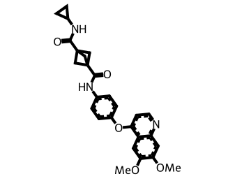 COc1cc2nccc(Oc3ccc(NC(=O)C45CC(C(=O)NC6CC6)(C4)C5)cc3)c2cc1OC